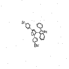 Brc1ccc(-c2cc(-c3c(-c4ccccc4)[nH]c4ccccc34)c(-c3ccc(Br)cc3)o2)cc1